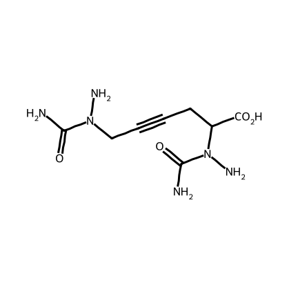 NC(=O)N(N)CC#CCC(C(=O)O)N(N)C(N)=O